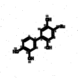 CCCCc1cc(O)c(-c2ccc(O)c(O)c2)cc1O